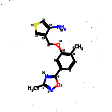 Cc1noc(-c2ccc(C)c(OCc3cscc3N)c2)n1